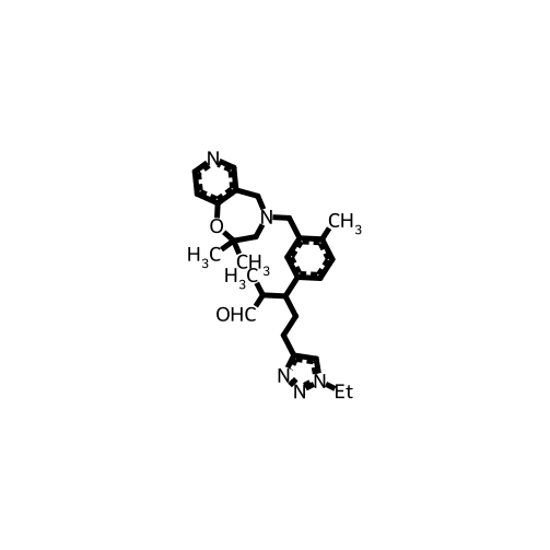 CCn1cc(CCC(c2ccc(C)c(CN3Cc4cnccc4OC(C)(C)C3)c2)C(C)C=O)nn1